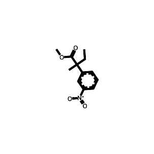 CCC(C)(C(=O)OC)c1cccc([N+](=O)[O-])c1